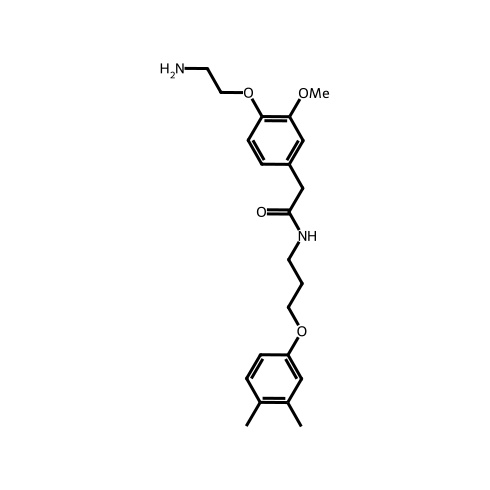 COc1cc(CC(=O)NCCCOc2ccc(C)c(C)c2)ccc1OCCN